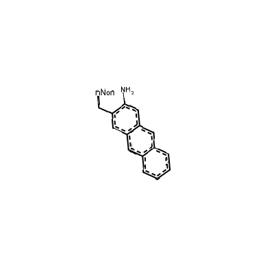 CCCCCCCCCCc1cc2cc3ccccc3cc2cc1N